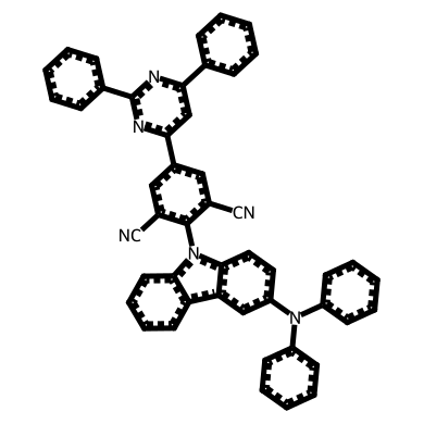 N#Cc1cc(-c2cc(-c3ccccc3)nc(-c3ccccc3)n2)cc(C#N)c1-n1c2ccccc2c2cc(N(c3ccccc3)c3ccccc3)ccc21